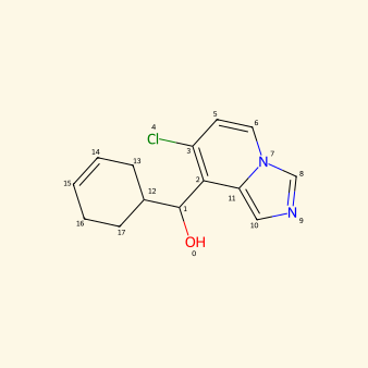 OC(c1c(Cl)ccn2cncc12)C1CC=CCC1